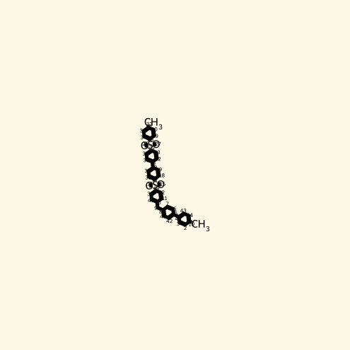 Cc1ccc(-c2ccc(Cc3ccc(S(=O)(=O)c4ccc(-c5ccc(S(=O)(=O)c6ccc(C)cc6)cc5)cc4)cc3)cc2)cc1